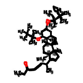 CCC(=O)CCC(C)C1=CC[C@H]2C3=CC=C4CC(O[Si](C)(C)C(C)(C)C)CC(O[Si](C)(C)C(C)(C)C)[C@]4(C)[C@H]3CC[C@]12C